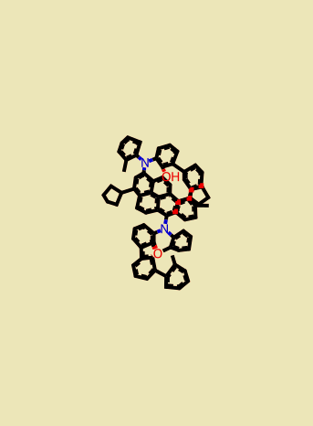 Cc1ccccc1-c1cccc(-c2cccc(N(c3ccccc3C)c3cc(C4CCCC4)c4ccc5c(N(c6ccccc6C)c6cccc7c6oc6c(-c8ccccc8C)cccc67)cc(C6CCCC6)c6ccc3c4c65)c2O)c1